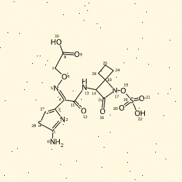 Nc1nc(C(=NOCC(=O)O)C(=O)NC2C(=O)N(OS(=O)(=O)O)C23CCC3)cs1